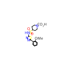 COc1ccccc1-c1nnc(NS(=O)(=O)C2CCN(C(=O)O)CC2)s1